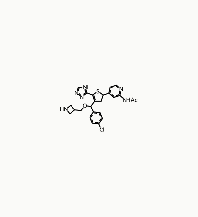 CC(=O)Nc1cc(C2CC(C(OCC3CNC3)c3ccc(Cl)cc3)=C(c3nnc[nH]3)S2)ccn1